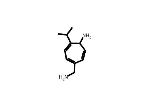 CC(C)C1=CC=C(CN)C=CC1N